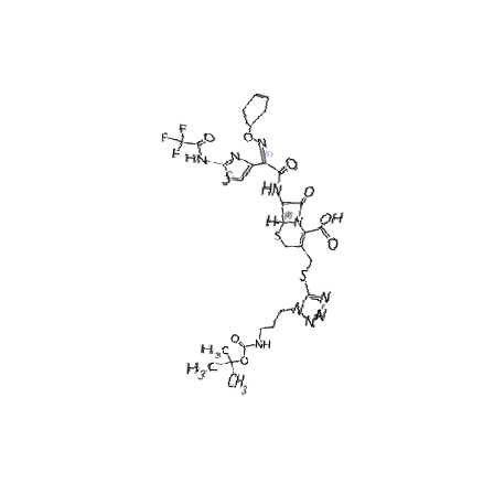 CC(C)(C)OC(=O)NCCCn1nnnc1SCC1=C(C(=O)O)N2C(=O)C(NC(=O)/C(=N/OC3CCCC3)c3csc(NC(=O)C(F)(F)F)n3)[C@H]2SC1